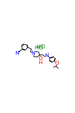 CC(C)Oc1ccc(N(C)CCC2(O)CCN(CCc3cccc(C#N)c3)CC2)cc1.Cl.Cl